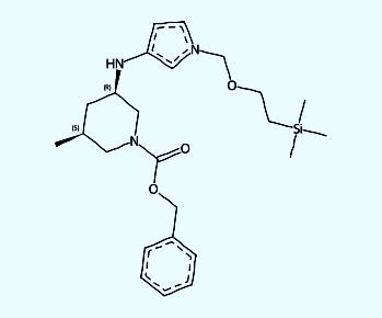 C[C@H]1C[C@@H](Nc2ccn(COCC[Si](C)(C)C)c2)CN(C(=O)OCc2ccccc2)C1